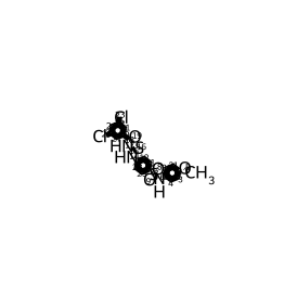 COc1ccc(NS(=O)(=O)c2ccc(NC(=S)NC(=O)c3cc(Cl)cc(Cl)c3)cc2)cc1